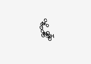 O=C1CCC(N2Cc3cc(OCC45CC(CN(C(c6ccccc6)c6ccccc6)C4)C5)ccc3C2=O)C(=O)N1